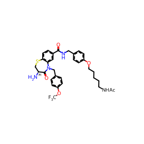 CC(=O)NCCCCCOc1ccc(CNC(=O)c2ccc3c(c2)N(Cc2ccc(OC(F)(F)F)cc2)C(=O)[C@@H](N)CS3)cc1